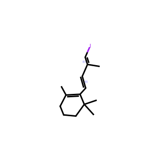 CC1=C(/C=C/C(C)=C/I)C(C)(C)CCC1